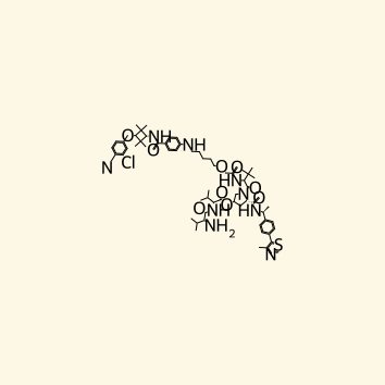 Cc1ncsc1-c1ccc([C@H](C)NC(=O)[C@@H]2C[C@@H](OC(=O)C(NC(=O)C(N)C(C)C)C(C)C)CN2C(=O)[C@@H](NC(=O)COCCCCCNc2ccc(C(=O)N[C@H]3C(C)(C)[C@H](Oc4ccc(C#N)c(Cl)c4)C3(C)C)cc2)C(C)(C)C)cc1